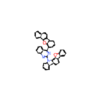 c1ccc2c(c1)ccc1c3cccc(-c4nc(-n5c6ccccc6c6ccc7c8ccccc8oc7c65)nc5ccccc45)c3oc21